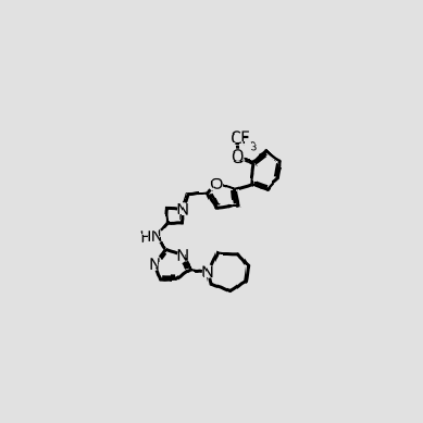 FC(F)(F)Oc1ccccc1-c1ccc(CN2CC(Nc3nccc(N4CCCCCC4)n3)C2)o1